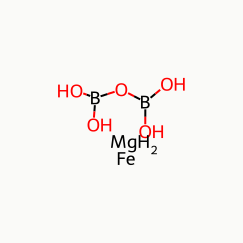 OB(O)OB(O)O.[Fe].[MgH2]